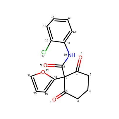 O=C1CCCC(=O)C1(C(=O)Nc1ccccc1Cl)c1ccco1